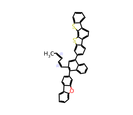 C/C=C\C=C/c1cc(-c2ccc3c(c2)sc2c3ccc3c4ccccc4sc32)c2ccccc2c1-c1ccc2c(c1)oc1ccccc12